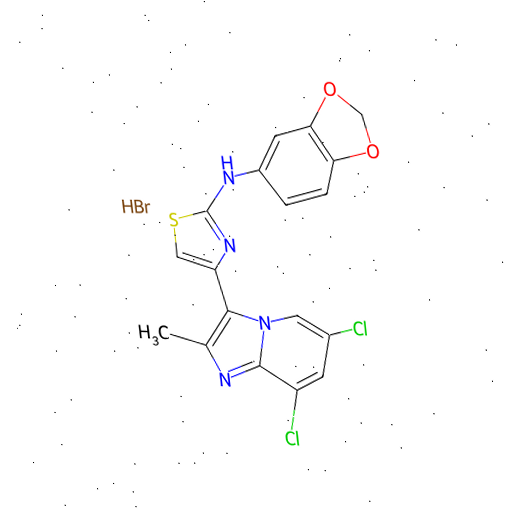 Br.Cc1nc2c(Cl)cc(Cl)cn2c1-c1csc(Nc2ccc3c(c2)OCO3)n1